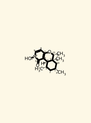 C[C@@H]1C[C@H](C)[C@H]2c3c(ccn(O)c3=O)O[C@H](C)[C@@]2(C)C1